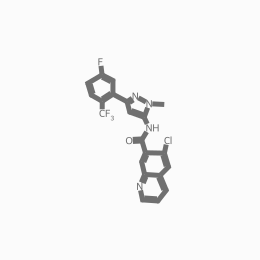 Cn1nc(-c2cc(F)ccc2C(F)(F)F)cc1NC(=O)c1cc2ncccc2cc1Cl